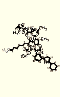 C=CCCCCC[C@H](NC(=O)OC(C)(C)C)C(=O)N1C[C@H](Oc2nc3c(-c4nc(C5CCCCC5)cs4)cccc3n2C(C)C)[C@@H](C)[C@H]1C(=O)N[C@]1(C(=O)NS(=O)(=O)C2(C)CC2)C[C@H]1C=C